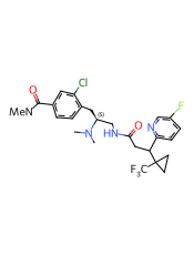 CNC(=O)c1ccc(C[C@@H](CNC(=O)CC(c2ccc(F)cn2)C2(C(F)(F)F)CC2)N(C)C)c(Cl)c1